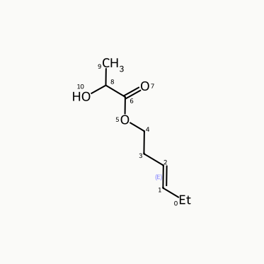 CC/C=C/CCOC(=O)C(C)O